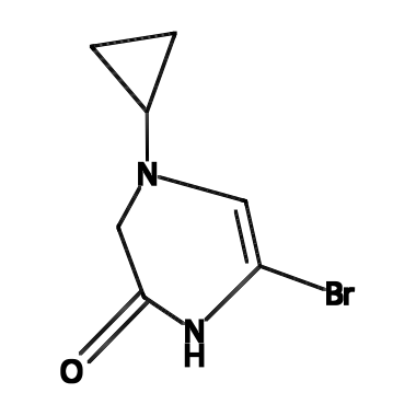 O=C1CN(C2CC2)C=C(Br)N1